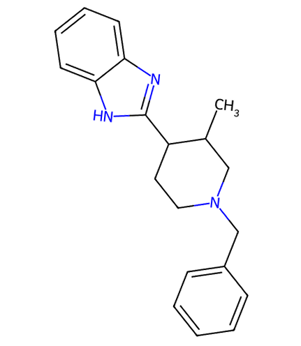 CC1CN(Cc2ccccc2)CCC1c1nc2ccccc2[nH]1